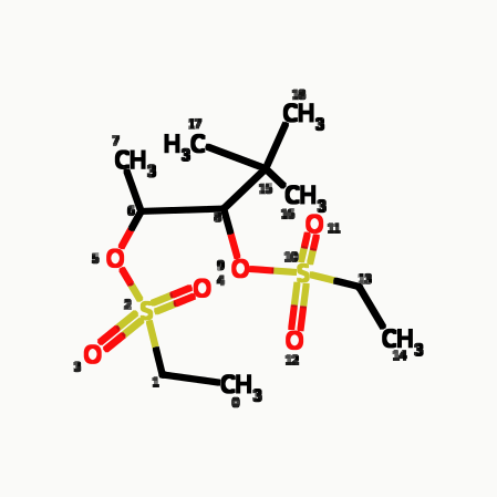 CCS(=O)(=O)OC(C)C(OS(=O)(=O)CC)C(C)(C)C